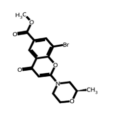 COC(=O)c1cc(Br)c2oc(N3CCO[C@H](C)C3)cc(=O)c2c1